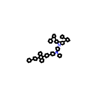 C1=CC2C(C=C1c1ccccc1-c1ccccc1)c1cc(-c3ccccc3-c3ccccc3)ccc1N2c1ccc(N(c2ccccc2)c2ccc(-c3ccc(-c4c5ccccc5c(-c5ccc(-c6ccccc6)cc5)c5ccccc45)cc3)cc2)cc1